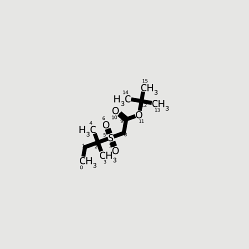 CCC(C)(C)S(=O)(=O)CC(=O)OC(C)(C)C